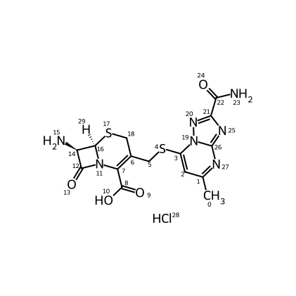 Cc1cc(SCC2=C(C(=O)O)N3C(=O)[C@@H](N)[C@H]3SC2)n2nc(C(N)=O)nc2n1.Cl